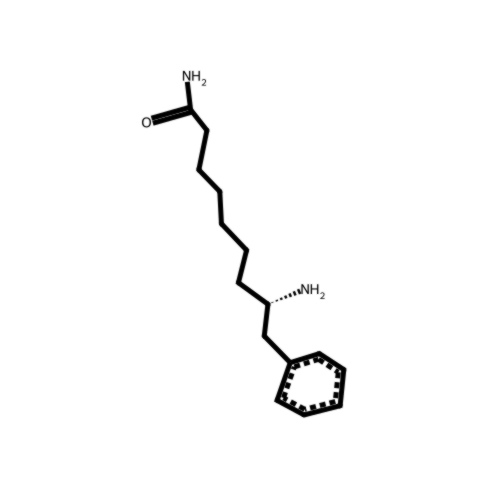 NC(=O)CCCCCC[C@H](N)Cc1ccccc1